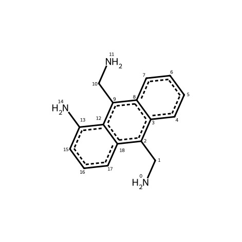 NCc1c2ccccc2c(CN)c2c(N)cccc12